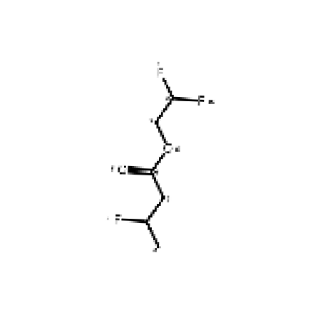 CC(F)CC(=O)OCC(F)F